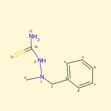 CN(Cc1ccccc1)NC(N)=S